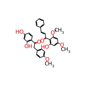 COc1cc(O)c(C(=O)C=Cc2ccccc2)c(OC)c1.COc1ccc(CC(=O)c2ccc(O)cc2O)cc1